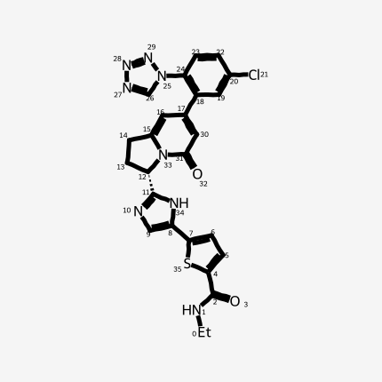 CCNC(=O)c1ccc(-c2cnc([C@@H]3CCc4cc(-c5cc(Cl)ccc5-n5cnnn5)cc(=O)n43)[nH]2)s1